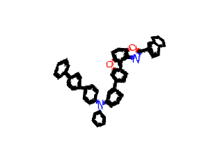 c1ccc(-c2ccc(-c3ccc(N(c4ccccc4)c4cccc(-c5ccc6c(c5)oc5ccc7oc(-c8ccc9ccccc9c8)nc7c56)c4)cc3)cc2)cc1